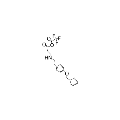 O=C(CCNCCc1ccc(OCc2ccccc2)cc1)OC(=O)C(F)(F)F